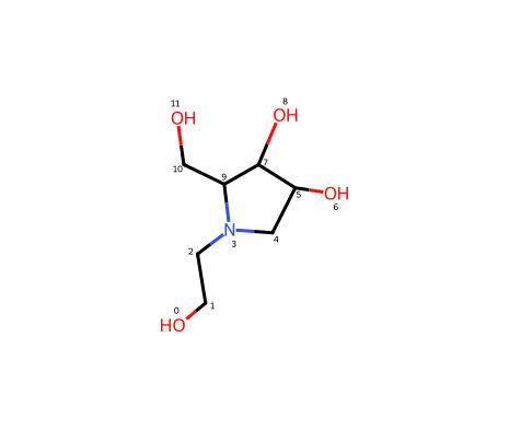 OCCN1CC(O)C(O)C1CO